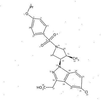 CC(C)Oc1ccc(S(=O)(=O)N2C[C@@H](C)[C@@H](n3nc(CC(=O)O)c4cc(Cl)ccc43)C2)cc1